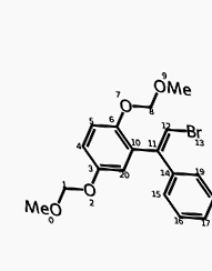 COCOc1ccc(OCOC)c(C(=CBr)c2ccccc2)c1